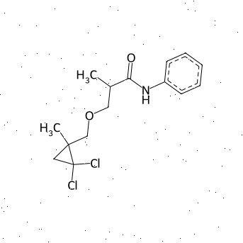 CC(COCC1(C)CC1(Cl)Cl)C(=O)Nc1ccccc1